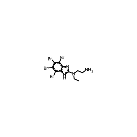 CCN(CCN)c1nc2c(Br)c(Br)c(Br)c(Br)c2[nH]1